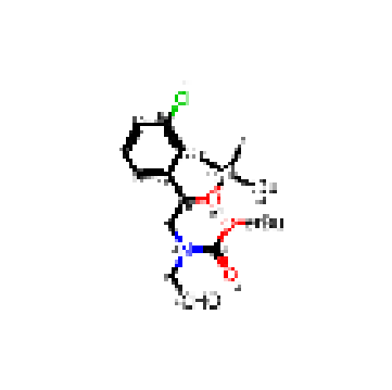 CC(C)(C)OC(=O)N(CC=O)CC(O[Si](C)(C)C(C)(C)C)c1cccc(Cl)c1